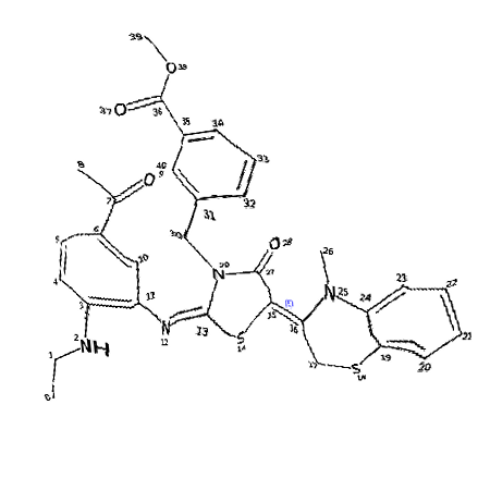 CCNc1ccc(C(C)=O)cc1N=C1S/C(=C2\CSc3ccccc3N2C)C(=O)N1Cc1cccc(C(=O)OC)c1